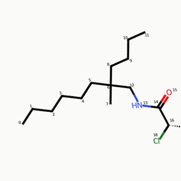 CCCCCCC(C)(CCCC)CNC(=O)[C@H](C)Cl